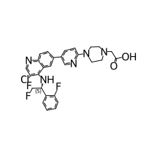 O=C(O)CN1CCN(c2ccc(-c3ccc4ncc(Cl)c(N[C@@H](c5ccccc5F)C(F)F)c4c3)cn2)CC1